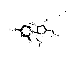 Nc1ccn([C@]2(COF)O[C@H](CO)[C@@H](O)[C@H]2O)c(=O)n1